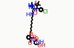 Cc1sc2c(c1C)C(c1ccc(Cl)cc1)=N[C@@H](CC(=O)NCCCCCCCCCCOc1cccc3c1C(=O)N(C1CCC(O)NC1=O)C3=O)c1nnc(C)n1-2